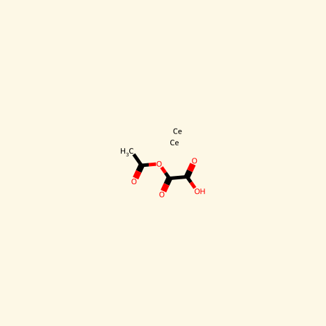 CC(=O)OC(=O)C(=O)O.[Ce].[Ce]